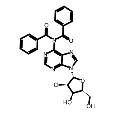 O=C(c1ccccc1)N(C(=O)c1ccccc1)c1ncnc2c1ncn2[C@@H]1O[C@H](CO)[C@@H](O)[C@H]1Cl